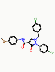 CSc1ccc(NC(=O)c2cn(Cc3ccc(Cl)cc3)n(-c3ccc(Br)cc3)c2=O)cc1